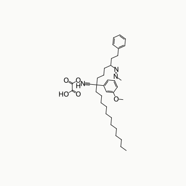 CCCCCCCCCCCCC(C#N)(CCCC(CCc1ccccc1)N=NC)c1cccc(OC)c1.O=C(O)C(=O)O